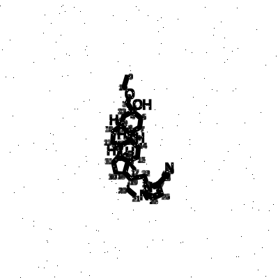 CCOC[C@@]1(O)CC[C@H]2[C@H](CC[C@@H]3[C@@H]2CC[C@]2(C)[C@@H]([C@@H](CC)Cn4nccc4C#N)CC[C@@H]32)C1